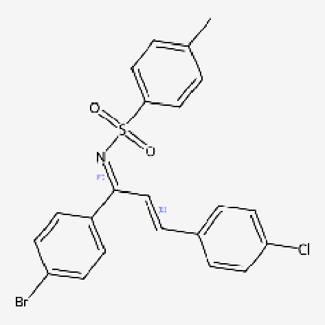 Cc1ccc(S(=O)(=O)/N=C(\C=C\c2ccc(Cl)cc2)c2ccc(Br)cc2)cc1